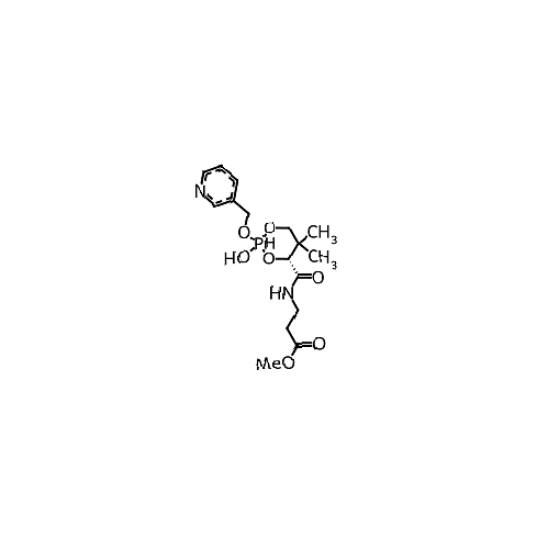 COC(=O)CCNC(=O)[C@@H]1O[PH](O)(OCc2cccnc2)OCC1(C)C